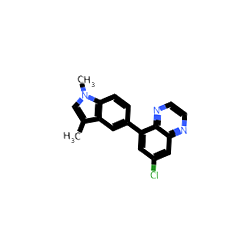 Cc1cn(C)c2ccc(-c3cc(Cl)cc4nccnc34)cc12